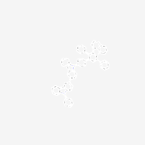 c1ccc(-c2cc(-c3ccc(-n4c5ccccc5c5cc(-c6ccc7c(c6)c6ccccc6n7-c6ccccc6)ccc54)cc3)c(-c3ccccc3)c3c2-c2cccc4cccc-3c24)cc1